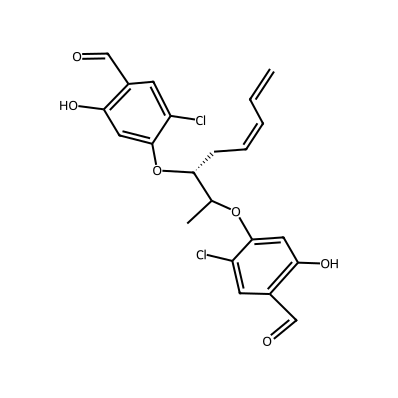 C=C/C=C\C[C@@H](Oc1cc(O)c(C=O)cc1Cl)C(C)Oc1cc(O)c(C=O)cc1Cl